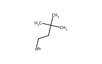 C[CH]CCCC(C)(C)C